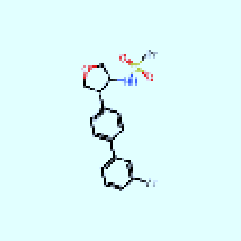 CC(=O)c1cccc(-c2ccc([C@H]3COC[C@H]3NS(=O)(=O)C(C)C)cc2)c1